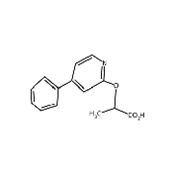 CC(Oc1cc(-c2ccccc2)ccn1)C(=O)O